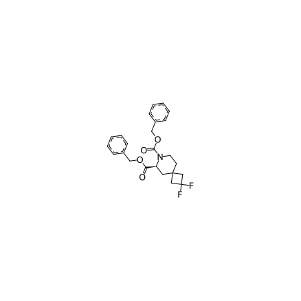 O=C(OCc1ccccc1)[C@@H]1CC2(CCN1C(=O)OCc1ccccc1)CC(F)(F)C2